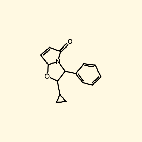 O=C1C=CC2OC(C3CC3)C(c3ccccc3)N12